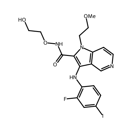 COCCn1c(C(=O)NOCCO)c(Nc2ccc(I)cc2F)c2cnccc21